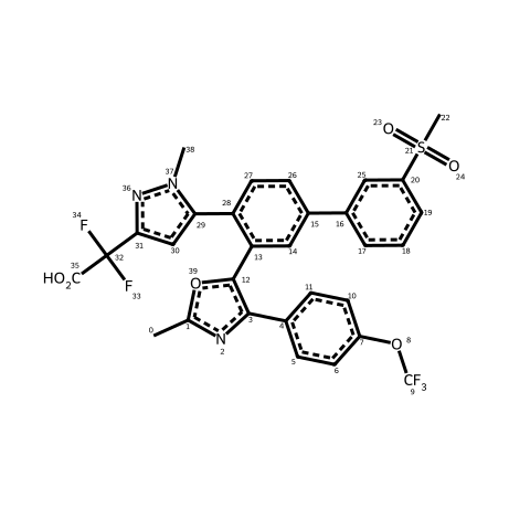 Cc1nc(-c2ccc(OC(F)(F)F)cc2)c(-c2cc(-c3cccc(S(C)(=O)=O)c3)ccc2-c2cc(C(F)(F)C(=O)O)nn2C)o1